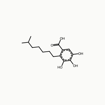 CC(C)CCCCCc1c(C(=O)O)cc(O)c(O)c1O